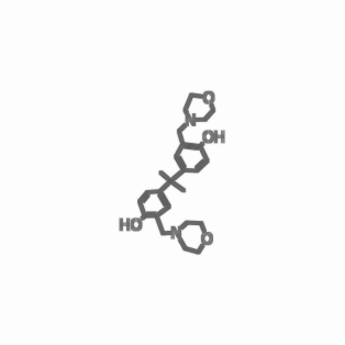 CC(C)(c1ccc(O)c(CN2CCOCC2)c1)c1ccc(O)c(CN2CCOCC2)c1